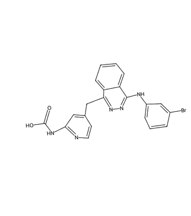 O=C(O)Nc1cc(Cc2nnc(Nc3cccc(Br)c3)c3ccccc23)ccn1